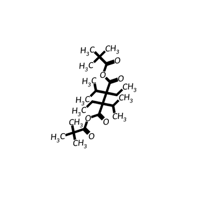 CCC(C(=O)OC(=O)C(C)(C)C)(C(C)C)C(CC)(C(=O)OC(=O)C(C)(C)C)C(C)C